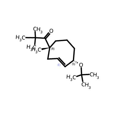 CC(C)(C)O[C@@H]1/C=C/C[C@](C)(C(=O)C(C)(C)C)CCC1